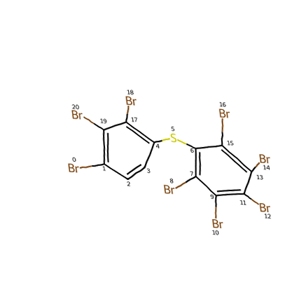 Brc1ccc(Sc2c(Br)c(Br)c(Br)c(Br)c2Br)c(Br)c1Br